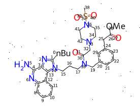 CCCCc1nc2c(N)nc3ccccc3c2n1CCCN(Cc1cccc(CC(=O)OC)c1)C(=O)CN1CCN(S(C)(=O)=O)CC1